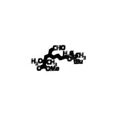 COC(=O)C(C)(C)CC(CC=O)CCCCO[Si](C)(C)C(C)(C)C